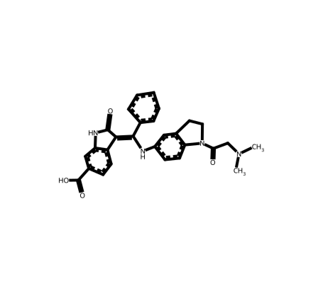 CN(C)CC(=O)N1CCc2cc(N/C(=C3/C(=O)Nc4cc(C(=O)O)ccc43)c3ccccc3)ccc21